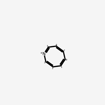 [C]1=CC=CN=CC=C1